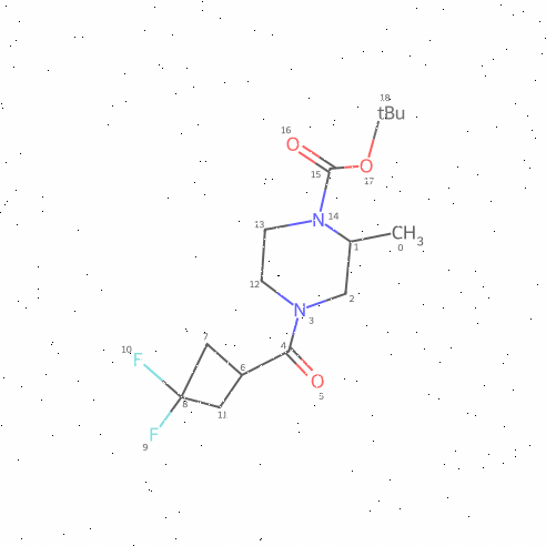 CC1CN(C(=O)C2CC(F)(F)C2)CCN1C(=O)OC(C)(C)C